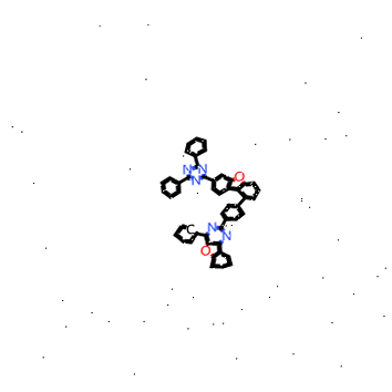 c1ccc(-c2nc(-c3ccccc3)nc(-c3ccc4c(c3)oc3cccc(-c5ccc(-c6nc(-c7ccccc7)c7oc8ccccc8c7n6)cc5)c34)n2)cc1